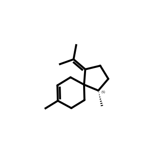 CC1=CCC2(CC1)C(=C(C)C)CC[C@@H]2C